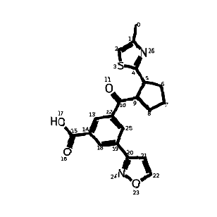 Cc1csc(C2CCCC2C(=O)c2cc(C(=O)O)cc(-c3ccon3)c2)n1